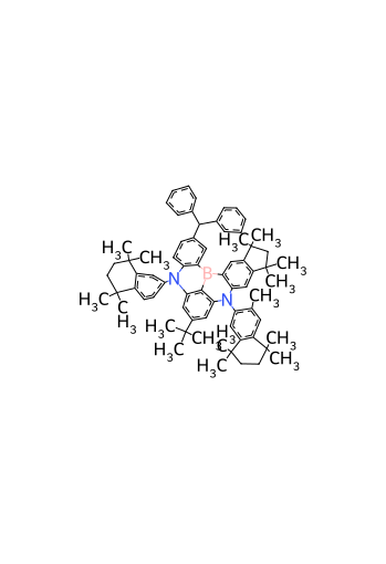 Cc1cc2c(cc1N1c3cc4c(cc3B3c5cc(C(c6ccccc6)c6ccccc6)ccc5N(c5ccc6c(c5)C(C)(C)CCC6(C)C)c5cc(C(C)(C)C)cc1c53)C(C)(C)CC4(C)C)C(C)(C)CCC2(C)C